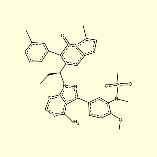 CC[C@@H](c1cc2scc(C)n2c(=O)c1-c1cccc(C)c1)n1nc(-c2ccc(OC)c(N(C)S(C)(=O)=O)c2)c2c(N)ncnc21